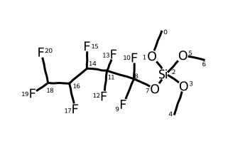 CO[Si](OC)(OC)OC(F)(F)C(F)(F)C(F)C(F)C(F)F